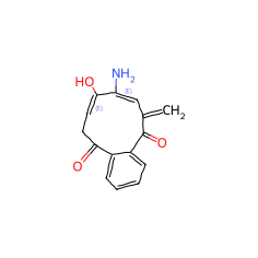 C=C1/C=C(N)\C(O)=C/CC(=O)c2ccccc2C1=O